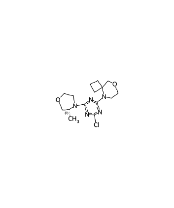 C[C@@H]1COCCN1c1nc(Cl)nc(N2CCOCC23CCC3)n1